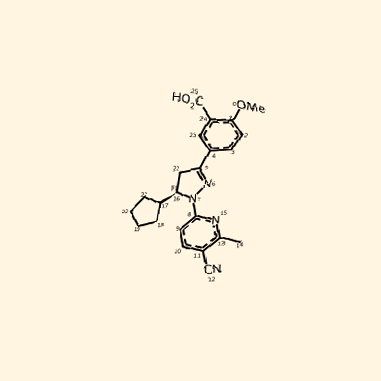 COc1ccc(C2=NN(c3ccc(C#N)c(C)n3)[C@@H](C3CCCC3)C2)cc1C(=O)O